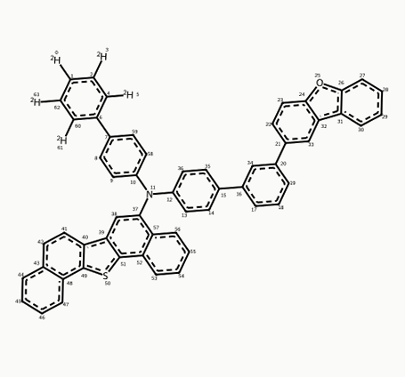 [2H]c1c([2H])c([2H])c(-c2ccc(N(c3ccc(-c4cccc(-c5ccc6oc7ccccc7c6c5)c4)cc3)c3cc4c5ccc6ccccc6c5sc4c4ccccc34)cc2)c([2H])c1[2H]